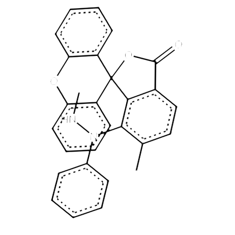 CNN(c1ccccc1)c1c(C)ccc2c1C1(OC2=O)c2ccccc2Oc2ccccc21